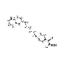 O=C(O)C(=O)c1ccc(OCCCCSc2ccc3ccccc3c2)cc1